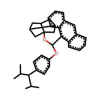 CC(C)C(c1ccc(OC(OC23CC4CC2CC4C3)c2c3ccccc3cc3ccccc23)cc1)C(C)C